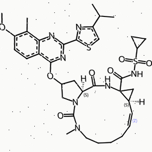 COc1ccc2c(OC3C[C@H]4C(=O)NC5(C(=O)NS(=O)(=O)C6CC6)C[C@H]5/C=C\CCCCN(C)C(=O)N4C3)nc(-c3nc(C(C)C)cs3)nc2c1C